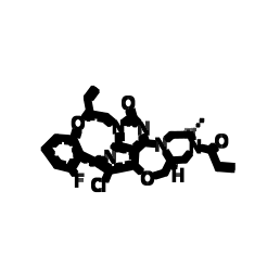 C=CC(=O)N1C[C@@H]2COc3c(Cl)c4nc5c3c(nc(=O)n5cc(C=C)oc3cccc(F)c34)N2C[C@@H]1C